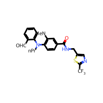 CCCN(c1ccccc1C=O)c1ccc(C(=O)NCc2cnc(C(F)(F)F)s2)cc1NC